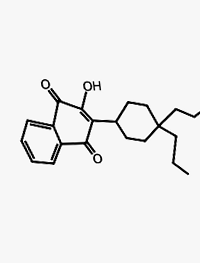 CCCC1(CCC)CCC(C2=C(O)C(=O)c3ccccc3C2=O)CC1